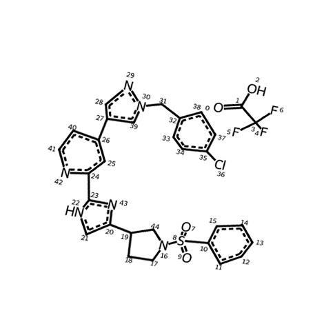 O=C(O)C(F)(F)F.O=S(=O)(c1ccccc1)N1CCC(c2c[nH]c(-c3cc(-c4cnn(Cc5ccc(Cl)cc5)c4)ccn3)n2)C1